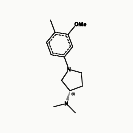 COc1cc(N2CC[C@H](N(C)C)C2)ccc1C